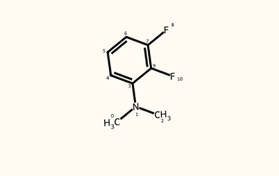 CN(C)c1cccc(F)c1F